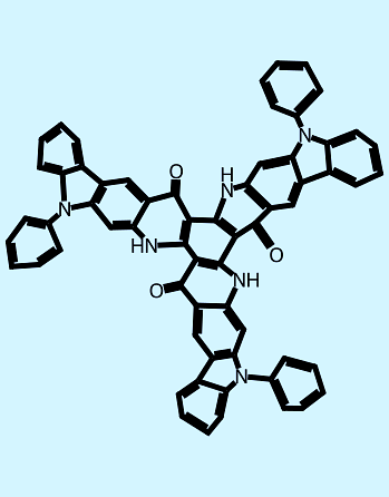 O=c1c2cc3c4ccccc4n(-c4ccccc4)c3cc2[nH]c2c1c1[nH]c3cc4c(cc3c(=O)c1c1[nH]c3cc5c(cc3c(=O)c21)c1ccccc1n5-c1ccccc1)c1ccccc1n4-c1ccccc1